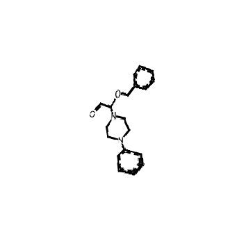 O=CC(OCc1ccccc1)N1CCN(c2ccccc2)CC1